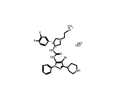 COCCN1C[C@@H](NC(=O)Nc2c(Br)c(C3CCNCC3)nn2-c2ccccc2)[C@H](c2ccc(F)c(F)c2)C1.Cl.Cl